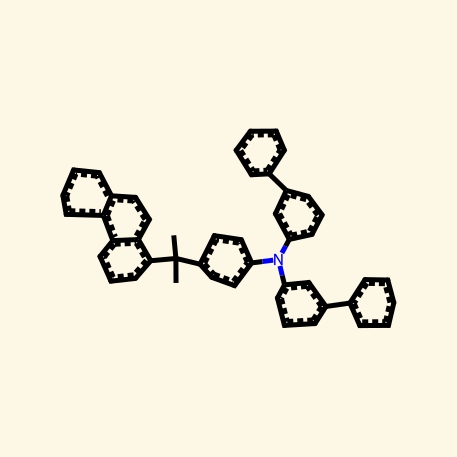 CC(C)(c1ccc(N(c2cccc(-c3ccccc3)c2)c2cccc(-c3ccccc3)c2)cc1)c1cccc2c1ccc1ccccc12